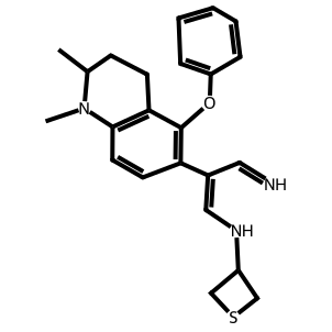 CC1CCc2c(ccc(/C(C=N)=C/NC3CSC3)c2Oc2ccccc2)N1C